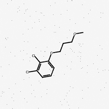 COCCCOc1cc[c]c(Cl)c1Cl